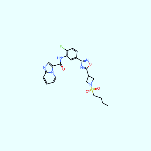 CCCCS(=O)(=O)N1CC(c2nc(-c3ccc(F)c(NC(=O)c4cnc5ccccn45)c3)no2)C1